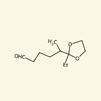 CCC1(C(C)CCCC=O)OCCO1